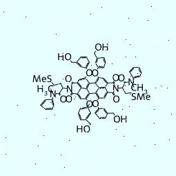 CSCCC(C(=O)N(C)c1ccccc1)N1C(=O)c2cc(Oc3cccc(CO)c3)c3c4c(Oc5cccc(CO)c5)cc5c6c(cc(Oc7cccc(CO)c7)c(c7c(Oc8cccc(CO)c8)cc(c2c37)C1=O)c64)C(=O)N(C(CCSC)C(=O)N(C)c1ccccc1)C5=O